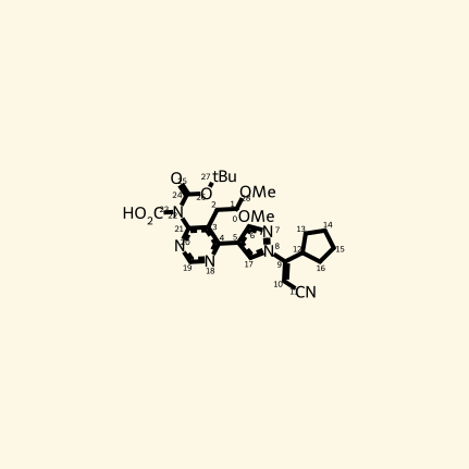 COC(Cc1c(-c2cnn(C(=CC#N)C3CCCC3)c2)ncnc1N(C(=O)O)C(=O)OC(C)(C)C)OC